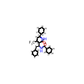 O=C(NC(Cc1ccccc1)c1c(C(F)(F)F)cc(-c2ccccc2)[nH]c1=O)c1ccccc1